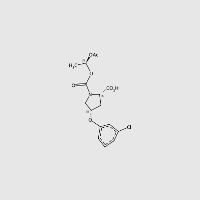 CC(=O)O[C@H](C)OC(=O)N1C[C@@H](Oc2cccc(Cl)c2)C[C@H]1C(=O)O